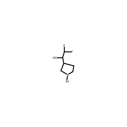 CC(=O)N1CCC(C(O)C(F)F)C1